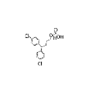 O=[PH](O)OCCCC(c1ccc(Cl)cc1)c1ccc(Cl)cc1